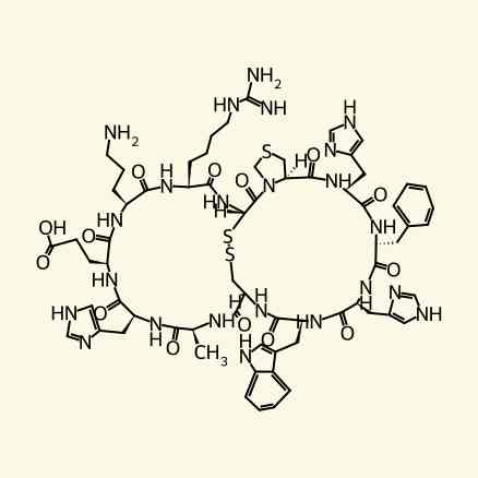 C[C@@H]1NC(=O)[C@@H]2CSS[C@H](NC(=O)[C@H](CCCCNC(=N)N)NC(=O)[C@H](CCCN)NC(=O)[C@H](CCC(=O)O)NC(=O)[C@H](Cc3c[nH]cn3)NC1=O)C(=O)N1CSC[C@H]1C(=O)N[C@@H](Cc1c[nH]cn1)C(=O)N[C@H](Cc1ccccc1)C(=O)N[C@@H](Cc1c[nH]cn1)C(=O)N[C@@H](Cc1c[nH]c3ccccc13)C(=O)N2